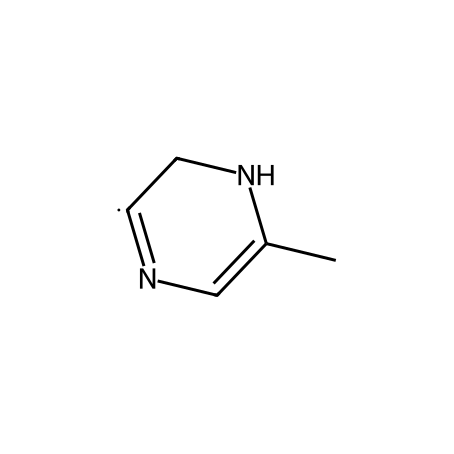 CC1=CN=[C]CN1